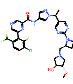 CO[C@H]1CN(C[C@@H]2CCN2c2ncc(C(C)n3cc(NC(=O)c4cncc(-c5c(C(F)F)ccc(Cl)c5F)n4)cn3)cn2)C[C@@H]1O